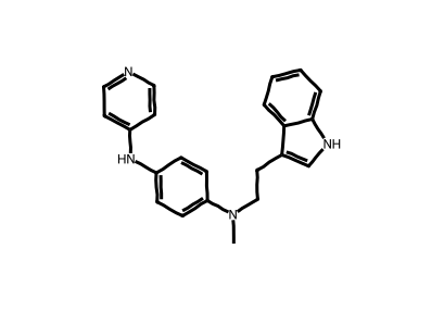 CN(CCc1c[nH]c2ccccc12)c1ccc(Nc2ccncc2)cc1